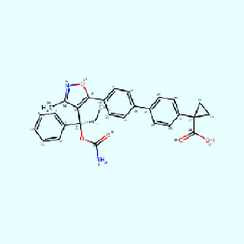 CC[C@](OC(N)=O)(c1ccccc1)c1c(C)noc1-c1ccc(-c2ccc(C3(C(=O)O)CC3)cc2)cc1